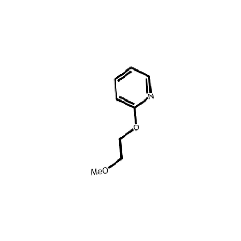 COCCOc1ccccn1